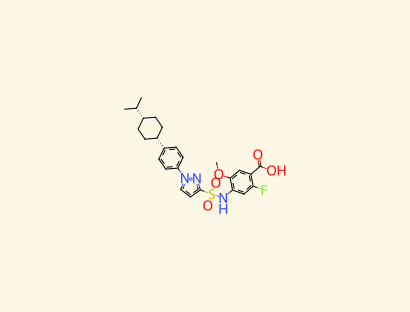 COc1cc(C(=O)O)c(F)cc1NS(=O)(=O)c1ccn(-c2ccc([C@H]3CC[C@@H](C(C)C)CC3)cc2)n1